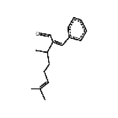 CC(C)=CCCC(C)C(C=O)=Cc1ccccc1